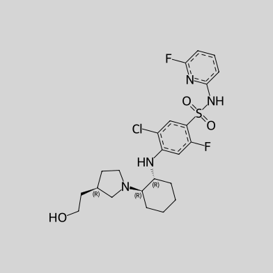 O=S(=O)(Nc1cccc(F)n1)c1cc(Cl)c(N[C@@H]2CCCC[C@H]2N2CC[C@H](CCO)C2)cc1F